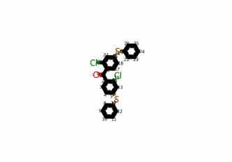 O=C(c1ccc(Sc2ccccc2)cc1Cl)c1ccc(Sc2ccccc2)cc1Cl